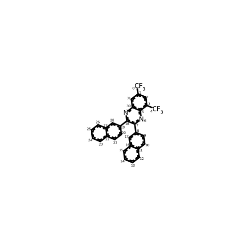 FC(F)(F)c1cc(C(F)(F)F)c2nc(-c3ccc4ccccc4c3)c(-c3ccc4ccccc4c3)nc2c1